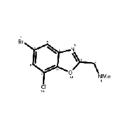 CNCc1nc2cc(Br)cc(Cl)c2o1